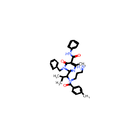 Cc1ccc(C(=O)N(CCCN)C(c2nc(C)c(C(=O)Nc3ccccc3)c(=O)n2Cc2ccccc2)C(C)C)cc1